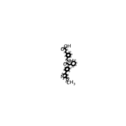 CCOc1cncc(-c2ccc([C@H](C(=O)NCc3cccc(CCC(=O)O)c3)C3CCCCC3)cc2)c1